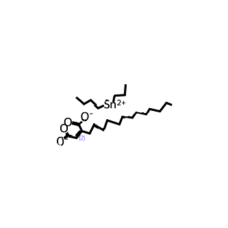 CCCCCCCCCCCCC/C(=C/C(=O)[O-])C(=O)[O-].CCC[CH2][Sn+2][CH2]CCC